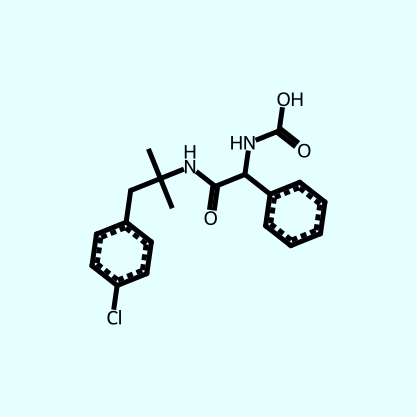 CC(C)(Cc1ccc(Cl)cc1)NC(=O)C(NC(=O)O)c1ccccc1